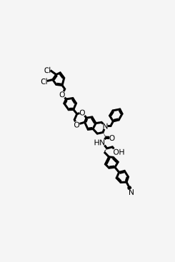 N#Cc1ccc(-c2ccc(C[C@@H](CO)NC(=O)[C@@H]3Cc4cc5c(cc4CN3Cc3ccccc3)OC(c3ccc(OCc4ccc(Cl)c(Cl)c4)cc3)CO5)cc2)cc1